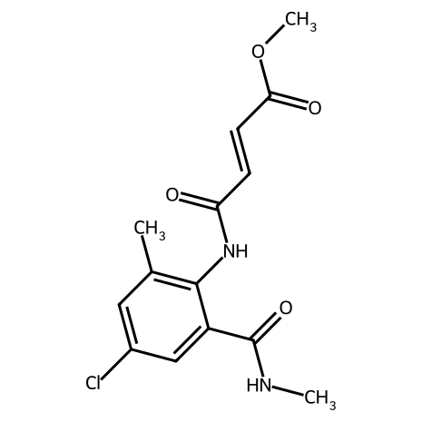 CNC(=O)c1cc(Cl)cc(C)c1NC(=O)C=CC(=O)OC